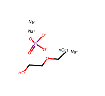 CCCCCCCCCOCCO.O=P([O-])([O-])[O-].[Na+].[Na+].[Na+]